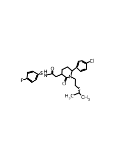 CC(C)SCCN1C(=O)C(CC(=O)NSc2ccc(F)cc2)CCC1c1ccc(Cl)cc1